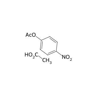 CC(=O)O.CC(=O)Oc1ccc([N+](=O)[O-])cc1